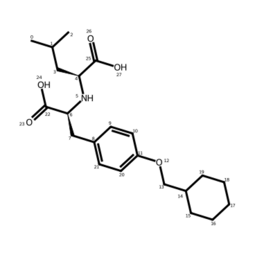 CC(C)C[C@H](N[C@@H](Cc1ccc(OCC2CCCCC2)cc1)C(=O)O)C(=O)O